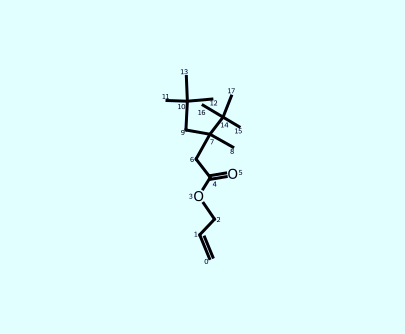 C=CCOC(=O)CC(C)(CC(C)(C)C)C(C)(C)C